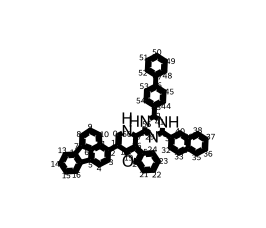 C1=C(c2ccc3c4c(cccc24)-c2ccccc2-3)c2oc3ccccc3c2C(C2=NC(c3ccc4ccccc4c3)NC(c3ccc(-c4ccccc4)cc3)N2)N1